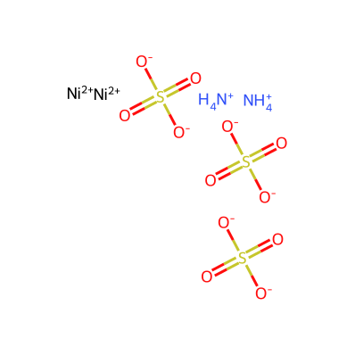 O=S(=O)([O-])[O-].O=S(=O)([O-])[O-].O=S(=O)([O-])[O-].[NH4+].[NH4+].[Ni+2].[Ni+2]